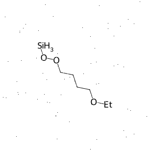 CCOCCCCOO[SiH3]